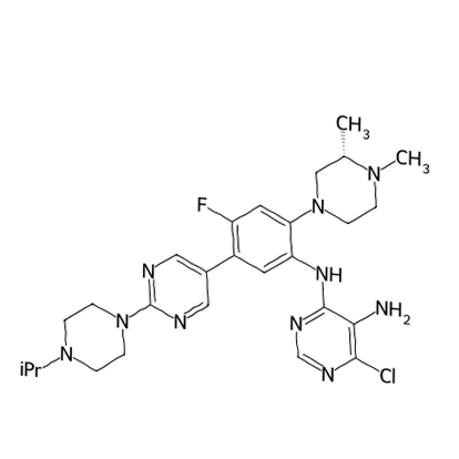 CC(C)N1CCN(c2ncc(-c3cc(Nc4ncnc(Cl)c4N)c(N4CCN(C)[C@@H](C)C4)cc3F)cn2)CC1